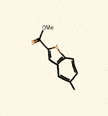 COC(=S)c1cc2cc(C)ccc2s1